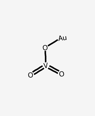 [O]=[V](=[O])[O][Au]